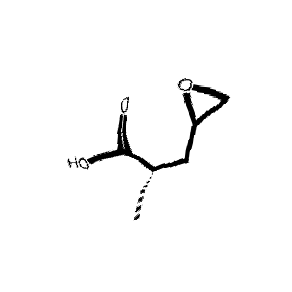 C[C@@H](CC1CO1)C(=O)O